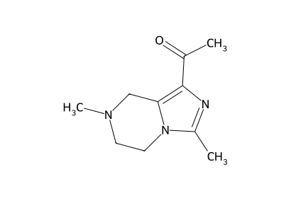 CC(=O)c1nc(C)n2c1CN(C)CC2